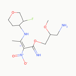 COC(CN)COC(=N)/C(=C(/C)NC1CCOCC1F)[N+](=O)[O-]